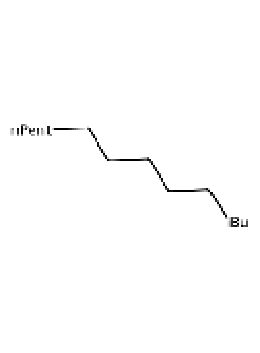 [CH2]CCCCCCCCCC(C)CC